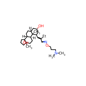 CCC(/C=N/OCCCN(C)C)=C\C1C[C@H](O)C[C@H]2CC[C@@H]3[C@H](CC[C@]4(C)CCC[C@]34O)[C@@]12C